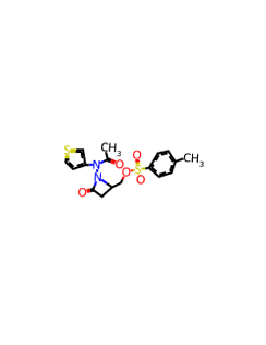 CC(=O)N(c1ccsc1)N1C(=O)CC1COS(=O)(=O)c1ccc(C)cc1